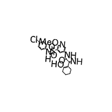 COc1ncc(NC(=O)C(=N)C2=C(O)CCCC2)cc1S(=O)(=O)Nc1ccc(Cl)cc1